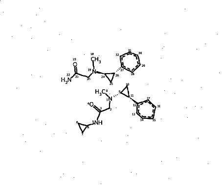 CN(CC(=O)NC1CC1)[C@@H]1C[C@H]1c1ccccc1.CN(CC(N)=O)[C@@H]1C[C@H]1c1ccccc1